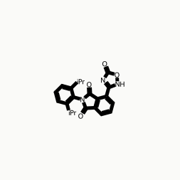 CC(C)c1cccc(C(C)C)c1N1C(=O)c2cccc(-c3nc(=O)o[nH]3)c2C1=O